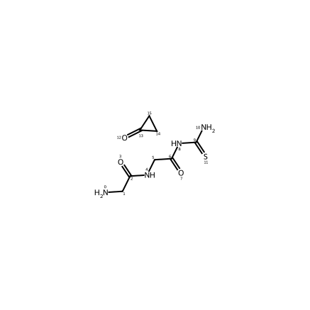 NCC(=O)NCC(=O)NC(N)=S.O=C1CC1